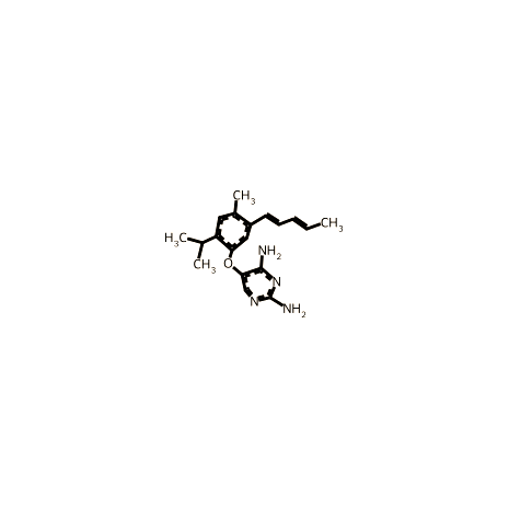 C/C=C/C=C/c1cc(Oc2cnc(N)nc2N)c(C(C)C)cc1C